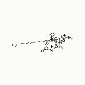 CCCCCCCCCCCCCCCCCC[C@@H](COP(=O)(Oc1ccccc1Cl)OC1[C@@]2(C)O[C@@H](c3ccc4c(N)ncnn34)[C@@H]3OC(C)(C)O[C@@]132)OCc1cc(Cl)cc(C#N)c1